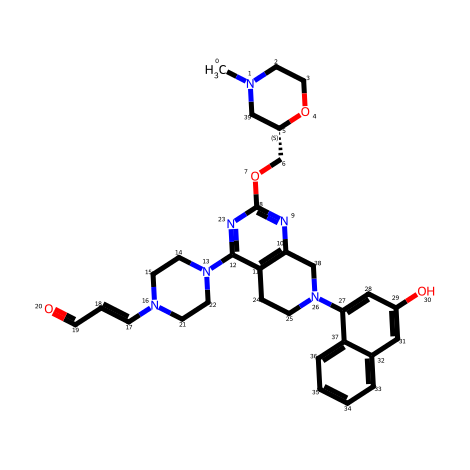 CN1CCO[C@H](COc2nc3c(c(N4CCN(C=CC=O)CC4)n2)CCN(c2cc(O)cc4ccccc24)C3)C1